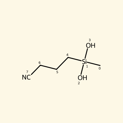 C[Si](O)(O)CCCC#N